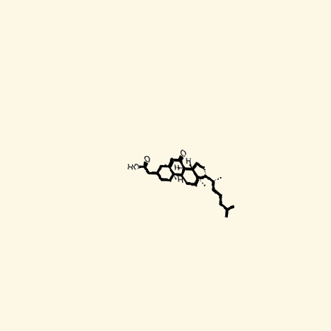 CC(C)CCC[C@@H](C)[C@H]1CC[C@H]2[C@@H]3C(=O)C=C4CC(CC(=O)O)CC[C@]4(C)[C@H]3CC[C@]12C